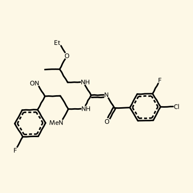 CCOC(C)CN/C(=N/C(=O)c1ccc(Cl)c(F)c1)NC(CC(N=O)c1ccc(F)cc1)NC